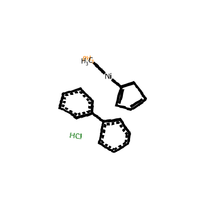 Cl.P.[CH3][Ni][C]1=CC=CC1.c1ccc(-c2ccccc2)cc1